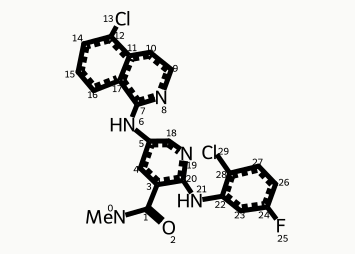 CNC(=O)c1cc(Nc2nccc3c(Cl)cccc23)cnc1Nc1cc(F)ccc1Cl